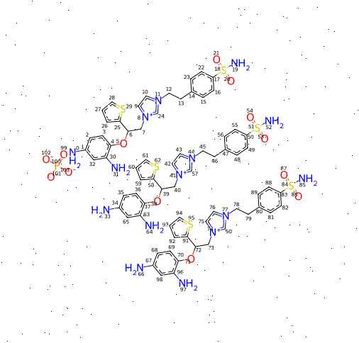 Nc1ccc(OC(C[n+]2ccn(CCc3ccc(S(N)(=O)=O)cc3)c2)c2cccs2)c(N)c1.Nc1ccc(OC(C[n+]2ccn(CCc3ccc(S(N)(=O)=O)cc3)c2)c2cccs2)c(N)c1.Nc1ccc(OC(C[n+]2ccn(CCc3ccc(S(N)(=O)=O)cc3)c2)c2cccs2)c(N)c1.O=P([O-])([O-])[O-]